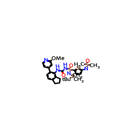 COc1cc(-c2ccc3c(c2NC(=O)NS(=O)(=NS(C)(C)C(C)(C)C)c2ccc(N=S(C)(C)=O)s2)CCC3)ccn1